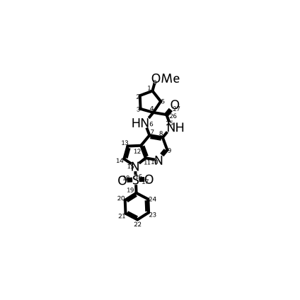 COC1CCC2(C1)Nc1c(cnc3c1ccn3S(=O)(=O)c1ccccc1)NC2=O